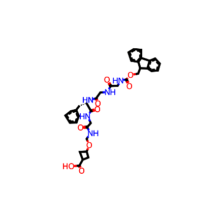 O=C(CNC(=O)OCC1c2ccccc2-c2ccccc21)NCC(=O)N[C@@H](Cc1ccccc1)C(=O)NCC(=O)NCOC1CC(C(=O)O)C1